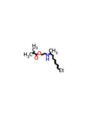 C=C(C)C(=O)OCCNC(C)CCC=CC=CCC